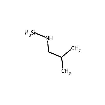 CC(C)CN[SiH3]